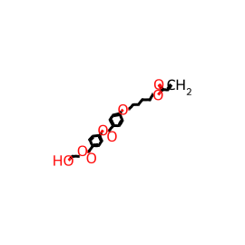 C=CC(=O)OCCCCCCOc1ccc(C(=O)Oc2ccc(C(=O)OCCO)cc2)cc1